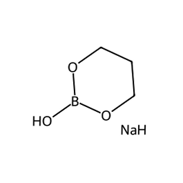 OB1OCCCO1.[NaH]